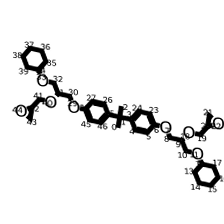 CC(C)(c1ccc(OCC(COC2CCCCC2)OCC2CO2)cc1)c1ccc(OCC(COC2CCCCC2)OCC2CO2)cc1